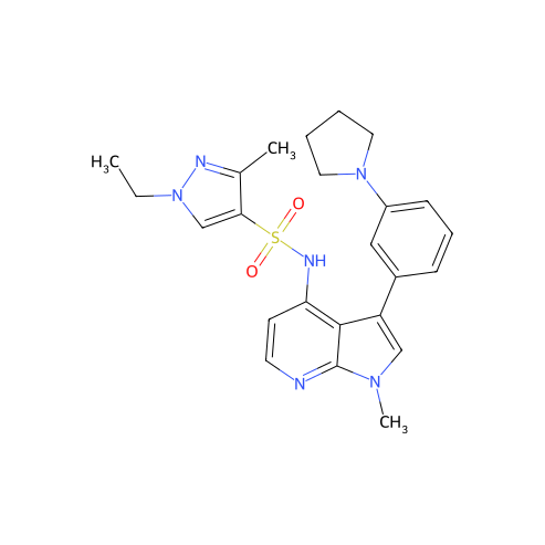 CCn1cc(S(=O)(=O)Nc2ccnc3c2c(-c2cccc(N4CCCC4)c2)cn3C)c(C)n1